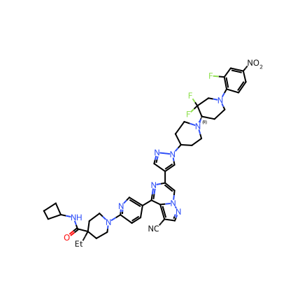 CCC1(C(=O)NC2CCC2)CCN(c2ccc(-c3nc(-c4cnn(C5CCN([C@@H]6CCN(c7ccc([N+](=O)[O-])cc7F)CC6(F)F)CC5)c4)cn4ncc(C#N)c34)cn2)CC1